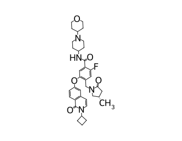 C[C@H]1CC(=O)N(Cc2cc(F)c(C(=O)NC3CCN(C4CCOCC4)CC3)cc2Oc2ccc3c(=O)n(C4CCC4)ccc3c2)C1